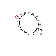 CC/C1=C/CCCCCCC(=O)CCCCCCC1